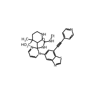 CCNC(=O)NC1(C2CNCCC2(C)C(=O)O)N=CC=CN1c1cc(C#Cc2ccncc2)c2scnc2c1